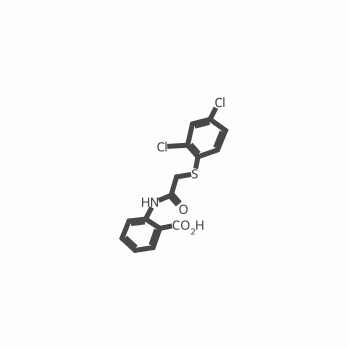 O=C(CSc1ccc(Cl)cc1Cl)Nc1ccccc1C(=O)O